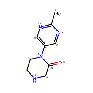 CC(C)(C)c1ncc(N2CCNCC2=O)cn1